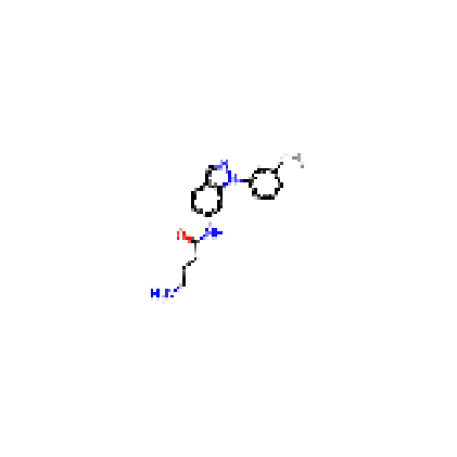 Cc1cccc(-n2ncc3ccc(NC(=O)CCCN)cc32)c1